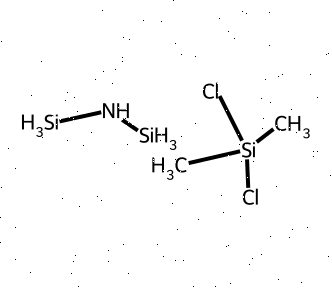 C[Si](C)(Cl)Cl.[SiH3]N[SiH3]